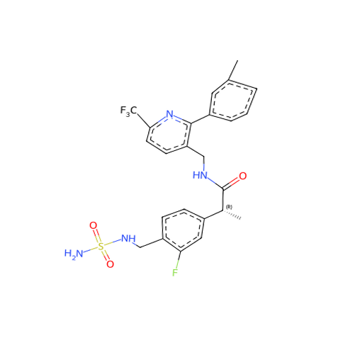 Cc1cccc(-c2nc(C(F)(F)F)ccc2CNC(=O)[C@H](C)c2ccc(CNS(N)(=O)=O)c(F)c2)c1